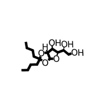 CCCCC1(CCCC)OC2O[C@H]([C@H](O)CO)[C@H](O)[C@H]2O1